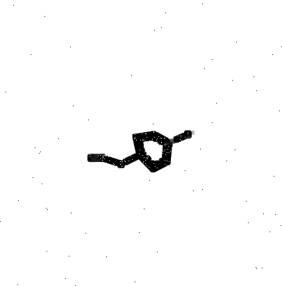 O=COc1cc[n+]([O-])cc1